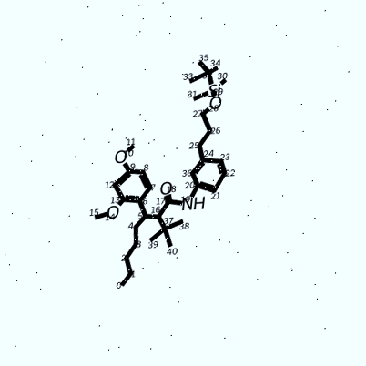 CCCCCC(c1ccc(OC)cc1OC)C(C(=O)Nc1cccc(CCCO[Si](C)(C)C(C)(C)C)c1)C(C)(C)C